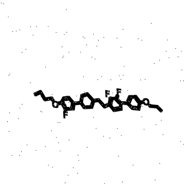 CCCCOc1ccc(C2CCC(CCc3ccc(-c4ccc(OCCC)cc4)c(F)c3F)CC2)cc1F